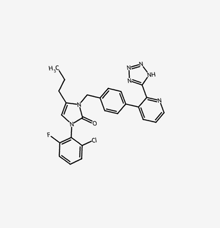 CCCc1cn(-c2c(F)cccc2Cl)c(=O)n1Cc1ccc(-c2cccnc2-c2nnn[nH]2)cc1